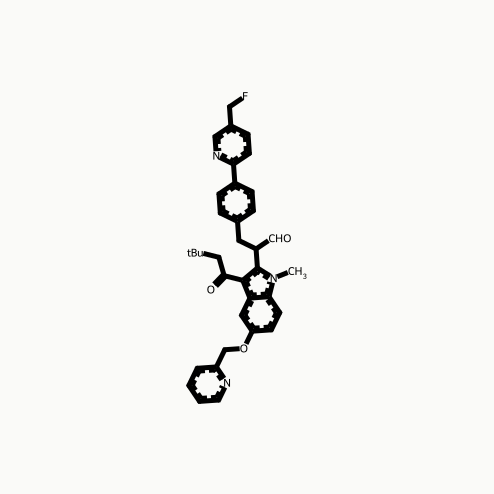 Cn1c(C(C=O)Cc2ccc(-c3ccc(CF)cn3)cc2)c(C(=O)CC(C)(C)C)c2cc(OCc3ccccn3)ccc21